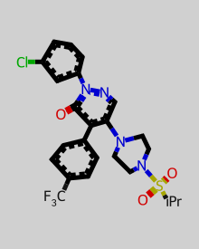 CC(C)S(=O)(=O)N1CCN(c2cnn(-c3cccc(Cl)c3)c(=O)c2-c2ccc(C(F)(F)F)cc2)CC1